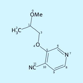 COC(C)COc1cnccc1C#N